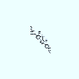 CCCC1CCC(c2ccc(-c3ccc(-c4ccc(OCC)cc4)c(F)c3F)c(F)c2F)CO1